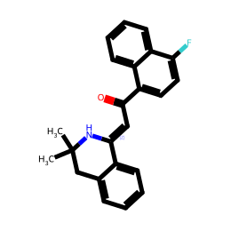 CC1(C)Cc2ccccc2/C(=C/C(=O)c2ccc(F)c3ccccc23)N1